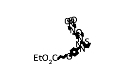 CCOC(=O)CCCCOc1ccc(-c2nc(N3CCOC(CN4CCN(S(C)(=O)=O)CC4)C3)c3sccc3n2)cc1